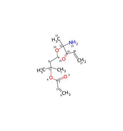 C=CC(=O)OC(C)(C)CCOC(C)(N)C(=O)C=C